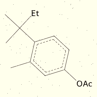 CCC(C)(C)c1ccc(OC(C)=O)cc1C